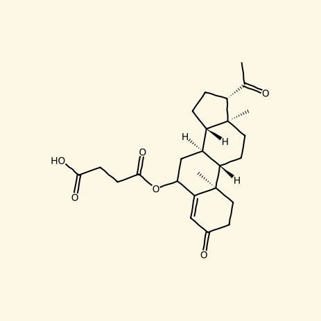 CC(=O)[C@H]1CC[C@H]2[C@@H]3CC(OC(=O)CCC(=O)O)C4=CC(=O)CC[C@]4(C)[C@H]3CC[C@]12C